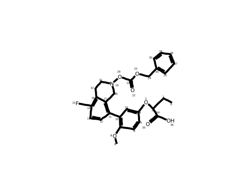 CCC(Oc1ccc(OC)c(-c2ccc(F)c3c2CN(OC(=O)OCc2ccccc2)CC3)c1)C(=O)O